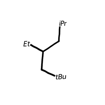 [CH2]C(C)(C)CC(CC)CC(C)C